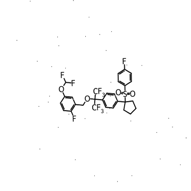 O=S(=O)(c1ccc(F)cc1)C1(c2ccc(C(OCc3cc(OC(F)F)ccc3F)(C(F)(F)F)C(F)(F)F)cc2)CCCC1